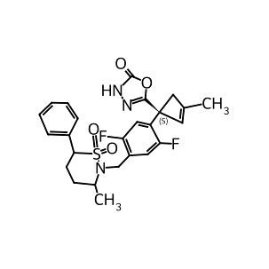 CC1=C[C@](c2n[nH]c(=O)o2)(c2cc(F)c(CN3C(C)CCC(c4ccccc4)S3(=O)=O)cc2F)C1